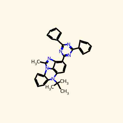 Cc1nc2c(-c3nc(-c4ccccc4)nc(-c4ccccc4)n3)ccc3c2n1-c1ccccc1N3C(C)(C)C